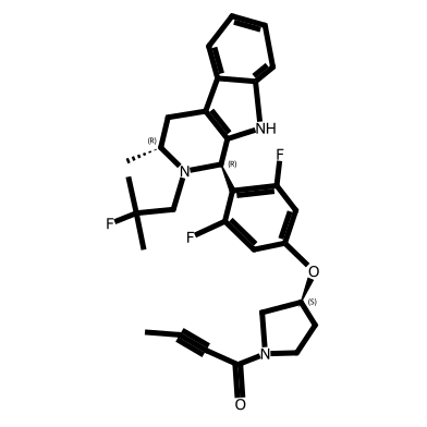 CC#CC(=O)N1CC[C@H](Oc2cc(F)c([C@@H]3c4[nH]c5ccccc5c4C[C@@H](C)N3CC(C)(C)F)c(F)c2)C1